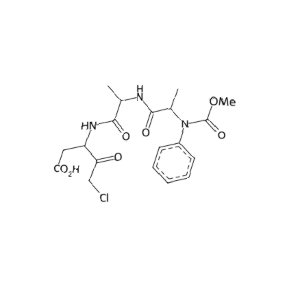 COC(=O)N(c1ccccc1)C(C)C(=O)NC(C)C(=O)NC(CC(=O)O)C(=O)CCl